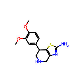 COc1ccc(C2CNCc3nc(N)sc32)cc1OC